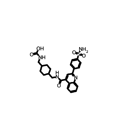 NS(=O)(=O)c1ccc(-c2cc(C(=O)NCC3CCC(CNC(=O)O)CC3)c3ccccc3n2)cc1